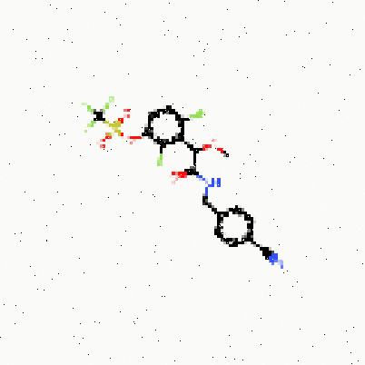 COC(C(=O)NCc1ccc(C#N)cc1)c1c(F)ccc(OS(=O)(=O)C(F)(F)F)c1F